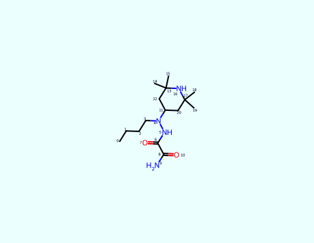 CCCCN(NC(=O)C(N)=O)C1CC(C)(C)NC(C)(C)C1